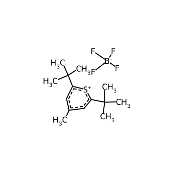 Cc1cc(C(C)(C)C)[s+]c(C(C)(C)C)c1.F[B-](F)(F)F